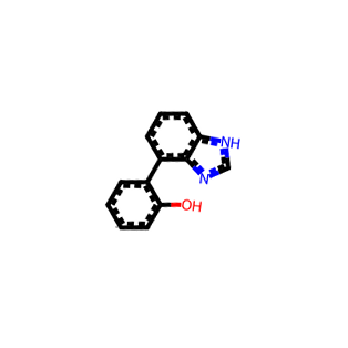 Oc1c[c]ccc1-c1cccc2[nH]cnc12